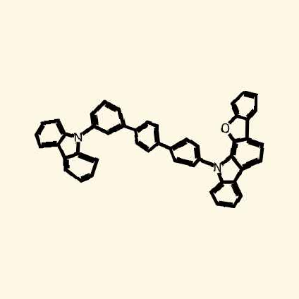 c1cc(-c2ccc(-c3ccc(-n4c5ccccc5c5ccc6c7ccccc7oc6c54)cc3)cc2)cc(-n2c3ccccc3c3ccccc32)c1